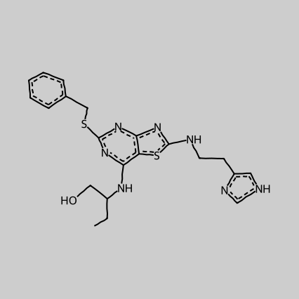 CCC(CO)Nc1nc(SCc2ccccc2)nc2nc(NCCc3c[nH]cn3)sc12